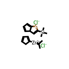 C[C](C)=[Zr+2][C]1=CC=CC1.C[Si](C)(C)C1=CC2C=CC=C2S1.[Cl-].[Cl-]